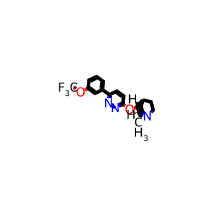 C[C@H]1[C@H](Oc2ccc(-c3cccc(OC(F)(F)F)c3)nn2)C2CCN1CC2